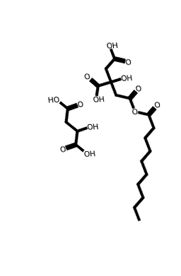 CCCCCCCCCC(=O)OC(=O)CC(O)(CC(=O)O)C(=O)O.O=C(O)CC(O)C(=O)O